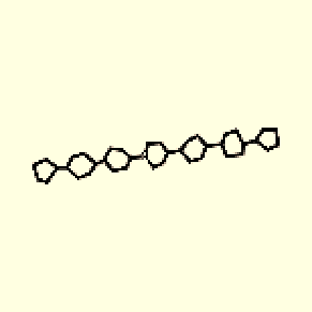 C1CCC(C2CCC(C3CCC(C4CCN(C5CCC(C6CCC(C7CCCC7)CC6)CC5)CC4)CC3)CC2)C1